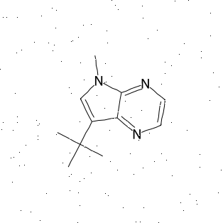 Cn1cc(C(C)(C)C)c2nccnc21